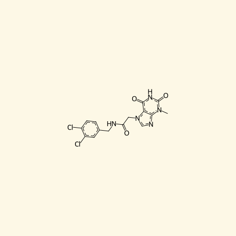 Cn1c(=O)[nH]c(=O)c2c1ncn2CC(=O)NCc1ccc(Cl)c(Cl)c1